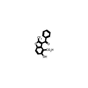 O=C(O)c1c(O)ccc2oc(C(F)(F)F)c(C(=O)c3ccccc3)c12